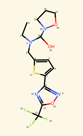 CCN(Cc1ccc(-c2noc(C(F)(F)F)n2)s1)C(O)N1CCCO1